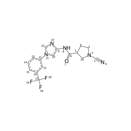 N#CN1CCC(C(=O)Nc2cn(-c3cccc(C(F)(F)F)c3)cn2)C1